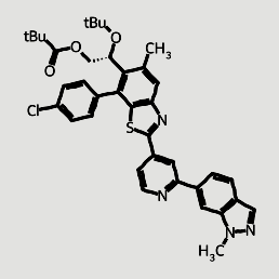 Cc1cc2nc(-c3ccnc(-c4ccc5cnn(C)c5c4)c3)sc2c(-c2ccc(Cl)cc2)c1[C@H](COC(=O)C(C)(C)C)OC(C)(C)C